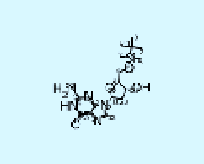 CC(C)(C)[Si](C)(C)OC[C@@H]1O[C@H](n2cnc3c(=O)[nH]c(N)nc32)C[C@H]1O